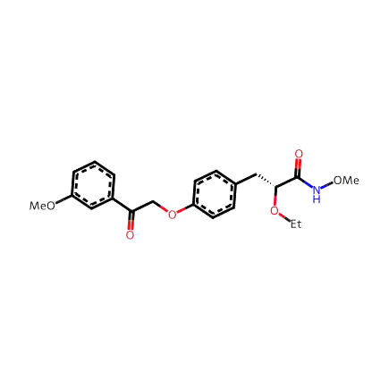 CCO[C@H](Cc1ccc(OCC(=O)c2cccc(OC)c2)cc1)C(=O)NOC